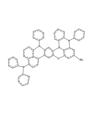 CC(C)(C)c1cc2c3c(c1)N(c1ccccc1)c1ccccc1B3c1cc3c(cc1O2)-c1ccc(N(c2ccccc2)c2ccccc2)c2cccc(c12)N3c1ccccc1